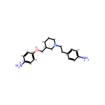 Nc1ccc(CCN2CCCC(COc3ccc(N)cc3)C2)cc1